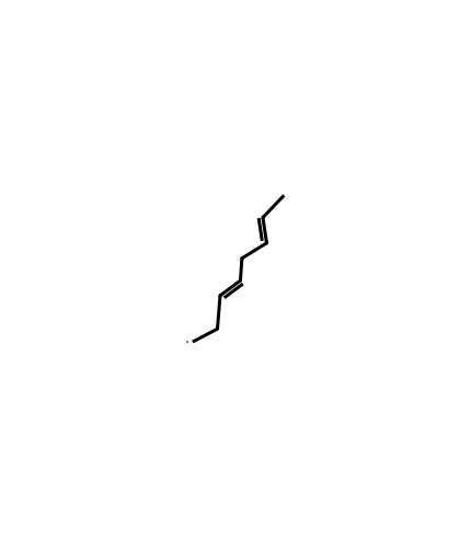 [CH2]C/C=C/C/C=C/C